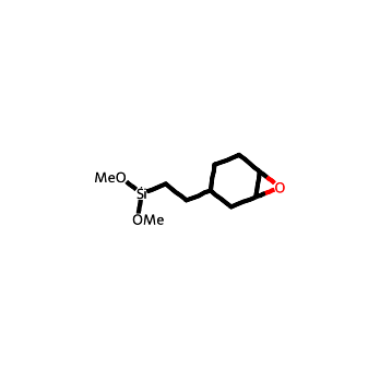 CO[Si](CCC1CCC2OC2C1)OC